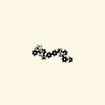 O=C(O)N[C@@H](C(=O)N1CCC[C@H]1c1nccn1-c1ccc(-c2ccc(-c3cnc([C@@H]4CCCN4C(=O)c4cccc(N5CCCC5)c4)[nH]3)cc2)cc1)c1ccccc1